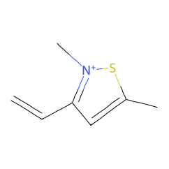 C=Cc1cc(C)s[n+]1C